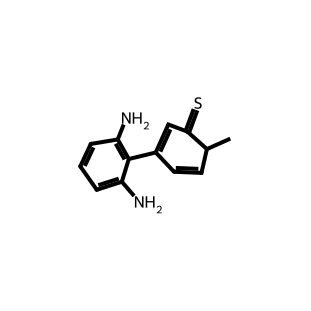 CC1C=CC(c2c(N)cccc2N)=CC1=S